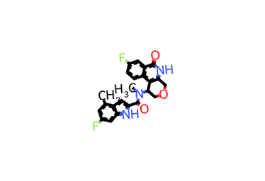 Cc1cc(F)cc2[nH]c(C(=O)N(C)C3COCc4[nH]c(=O)c5cc(F)ccc5c43)cc12